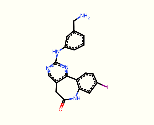 NCc1cccc(Nc2ncc3c(n2)-c2ccc(I)cc2NC(=O)C3)c1